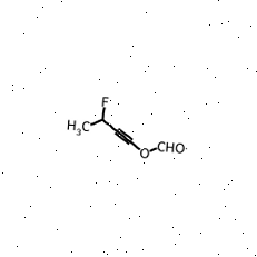 CC(F)C#CO[C]=O